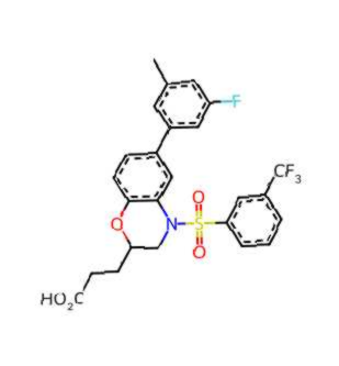 Cc1cc(F)cc(-c2ccc3c(c2)N(S(=O)(=O)c2cccc(C(F)(F)F)c2)CC(CCC(=O)O)O3)c1